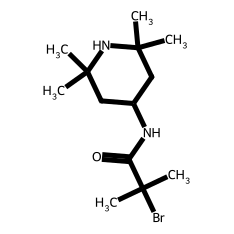 CC1(C)CC(NC(=O)C(C)(C)Br)CC(C)(C)N1